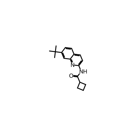 CC(C)(C)c1ccc2ccc(NC(=O)C3CCC3)nc2c1